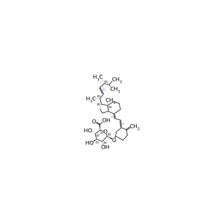 C=C1CCC(O[C@@H]2O[C@H](C(=O)O)[C@@H](O)[C@H](O)[C@H]2O)C/C1=C\C=C1/CCC[C@@]2(C)C1CC[C@@H]2[C@H](C)/C=C/[C@H](C)C(C)C